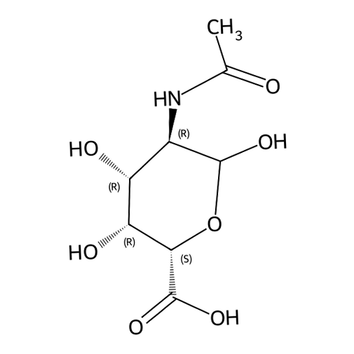 CC(=O)N[C@H]1C(O)O[C@H](C(=O)O)[C@H](O)[C@@H]1O